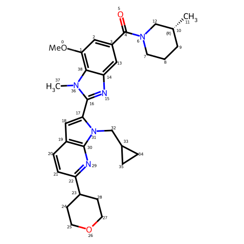 COc1cc(C(=O)N2CCC[C@@H](C)C2)cc2nc(-c3cc4ccc(C5CCOCC5)nc4n3CC3CC3)n(C)c12